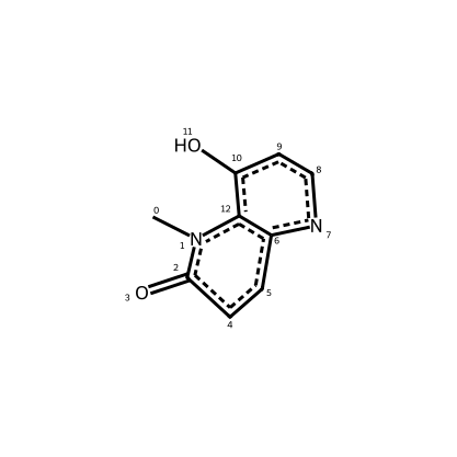 Cn1c(=O)ccc2nccc(O)c21